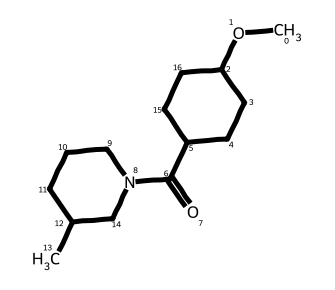 COC1CCC(C(=O)N2CCCC(C)C2)CC1